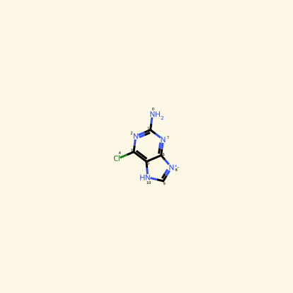 Nc1nc(Cl)c2c(n1)[N+]=CN2